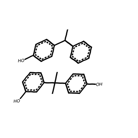 CC(C)(c1ccc(O)cc1)c1cccc(O)c1.CC(c1ccccc1)c1ccc(O)cc1